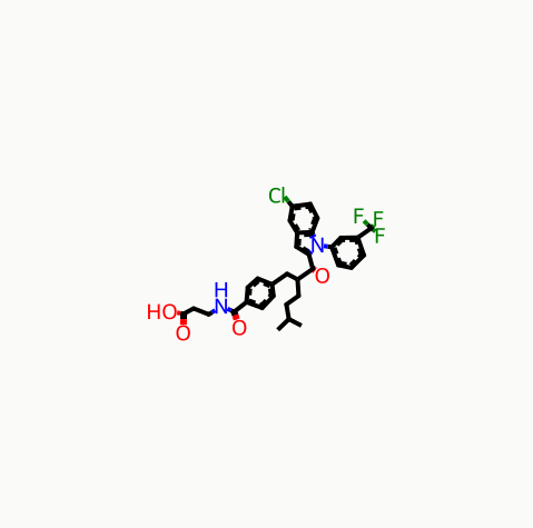 CC(C)CCC(Cc1ccc(C(=O)NCCC(=O)O)cc1)C(=O)c1cc2cc(Cl)ccc2n1-c1cccc(C(F)(F)F)c1